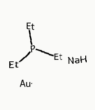 CCP(CC)CC.[Au].[NaH]